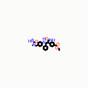 CCOC(=O)c1ccc2c(c1)NC(=O)/C2=C(\Nc1ccc(CN(C)C(=O)NC)cc1)c1ccccc1